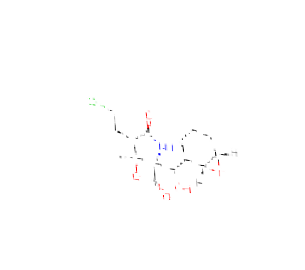 C[C@@]12OC(=O)[C@]1([C@@H](O)[C@H]1CCC[C@@H]3O[C@H]13)NC(=O)[C@@H]2CCCl